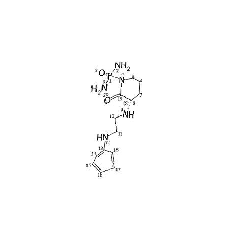 NP(N)(=O)N1CCC[C@H](NCCNc2ccccc2)C1=O